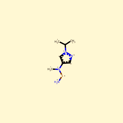 CC(C)n1cc(N(C)SN)cn1